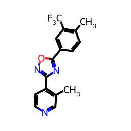 Cc1cnccc1-c1noc(-c2ccc(C)c(C(F)(F)F)c2)n1